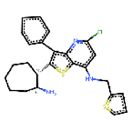 N[C@H]1CCCCC[C@@H]1c1sc2c(NCc3cccs3)cc(Cl)nc2c1-c1ccccc1